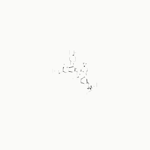 O=C(O)c1cnc2c(N3CCC(F)(F)CC3)cc(NC(=O)c3ccc(NS(=O)(=O)CCO)cc3N3CCC4(CC3)CC4)cc2c1